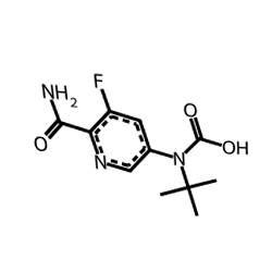 CC(C)(C)N(C(=O)O)c1cnc(C(N)=O)c(F)c1